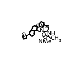 CN[C@@H](C)C(=O)NC1CCc2ccccc2N(Cc2c(OC)ccc3cc(-c4ccco4)ccc23)C1=O